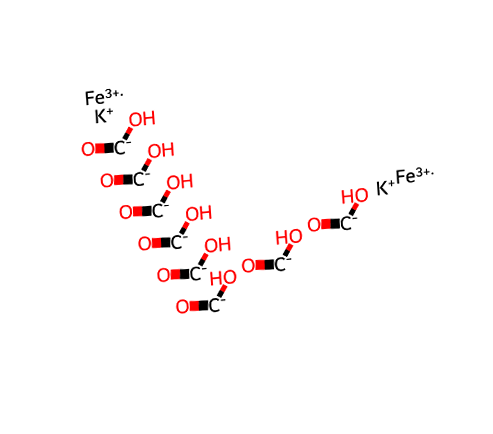 O=[C-]O.O=[C-]O.O=[C-]O.O=[C-]O.O=[C-]O.O=[C-]O.O=[C-]O.O=[C-]O.[Fe+3].[Fe+3].[K+].[K+]